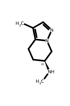 CN[C@H]1CCc2c(C)cnn2C1